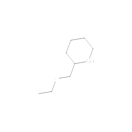 CCOCC1CCCCN1